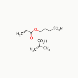 C=C(C)C(=O)O.C=CC(=O)OCCCS(=O)(=O)O